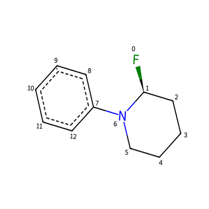 F[C@H]1CCCCN1c1c[c]ccc1